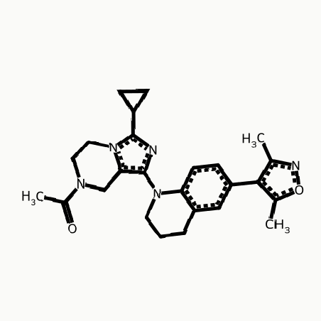 CC(=O)N1CCn2c(C3CC3)nc(N3CCCc4cc(-c5c(C)noc5C)ccc43)c2C1